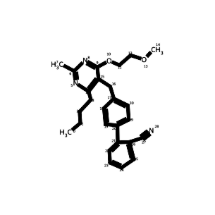 CCCCc1nc(C)nc(OCCOC)c1Cc1ccc(-c2ccccc2C#N)cc1